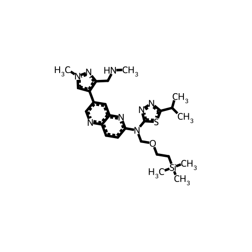 CNCc1nn(C)cc1-c1cnc2ccc(N(COCC[Si](C)(C)C)c3nnc(C(C)C)s3)nc2c1